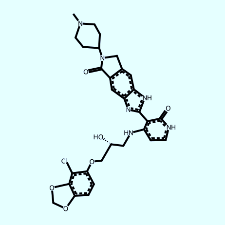 CN1CCC(N2Cc3cc4[nH]c(-c5c(NC[C@@H](O)COc6ccc7c(c6Cl)OCO7)cc[nH]c5=O)nc4cc3C2=O)CC1